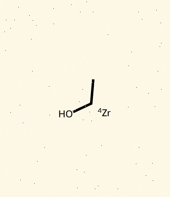 CCO.[4Zr]